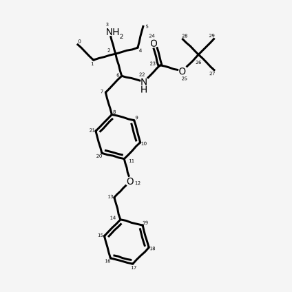 CCC(N)(CC)C(Cc1ccc(OCc2ccccc2)cc1)NC(=O)OC(C)(C)C